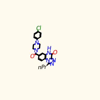 CCCc1nnc2c(=O)[nH]c3cc(C(=O)N4CCN(c5ccc(Cl)cc5)CC4)ccc3n12